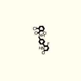 O=C(NCc1ccc(-c2[nH]c(=O)ccc2F)cc1)c1c(Cl)cccc1Cl